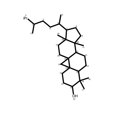 CC(C)C(C)CCC(C)C1CCC2(C)C3CCC4C(C)(C)C(O)CCC45CC35CCC12C